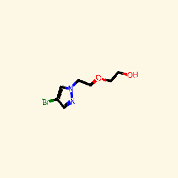 OCCOCCn1cc(Br)cn1